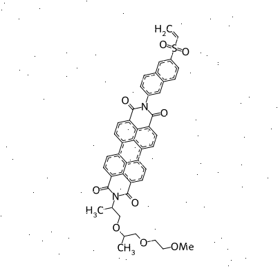 C=CS(=O)(=O)c1ccc2cc(N3C(=O)c4ccc5c6ccc7c8c(ccc(c9ccc(c4c59)C3=O)c86)C(=O)N(C(C)COC(C)COCCOC)C7=O)ccc2c1